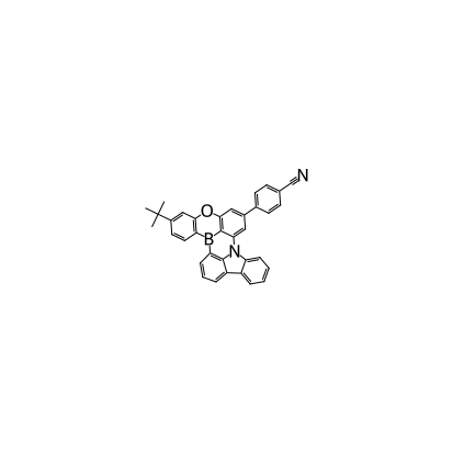 CC(C)(C)c1ccc2c(c1)Oc1cc(-c3ccc(C#N)cc3)cc3c1B2c1cccc2c4ccccc4n-3c12